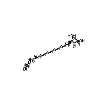 O=C(O)CC1CNC(CC(=O)O)C(Cc2ccc(NC(=S)NCCOCCOCCOCCOCCOCCOCCOCCNC(=O)CCC(=O)Nc3ccc(-c4nnc(-c5ccccn5)nn4)cc3)cc2)NC(CC(=O)O)CN1